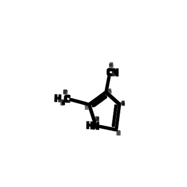 Cc1[nH]ccc1C#N